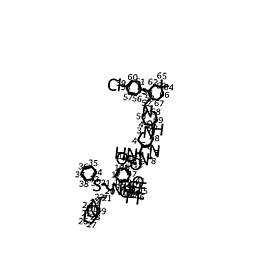 [2H]C1(N2CCc3c(ncnc3NS(=O)(=O)c3ccc(N[C@H](CCN4CC5CCC(C4)O5)CSc4ccccc4)c(S(=O)(=O)C(F)(F)F)c3)C2)CCN(CC2=C(c3ccc(Cl)cc3)CC(C)(C)CC2)CC1